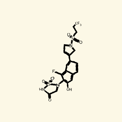 O=C1CN(c2c(O)cc3ccc(C4=CCN(S(=O)(=O)CCC(F)(F)F)C4)cc3c2F)S(=O)(=O)N1